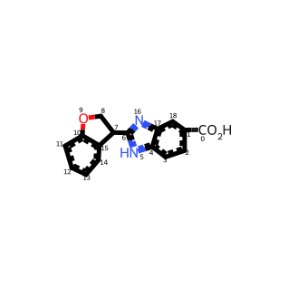 O=C(O)c1ccc2[nH]c(C3COc4ccccc43)nc2c1